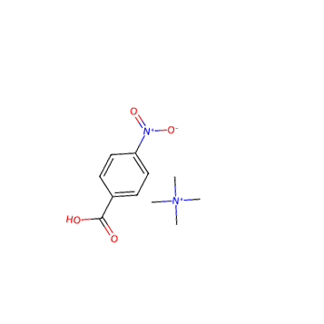 C[N+](C)(C)C.O=C(O)c1ccc([N+](=O)[O-])cc1